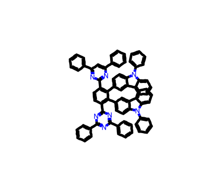 c1ccc(-c2cc(-c3ccccc3)nc(-c3ccc(-c4nc(-c5ccccc5)nc(-c5ccccc5)n4)c(-c4ccc5c(c4)c4ccccc4n5-c4ccccc4)c3-c3ccc4c(c3)c3ccccc3n4-c3ccccc3)n2)cc1